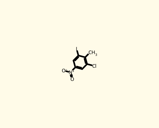 Cc1c(Cl)cc([N+](=O)[O-])cc1I